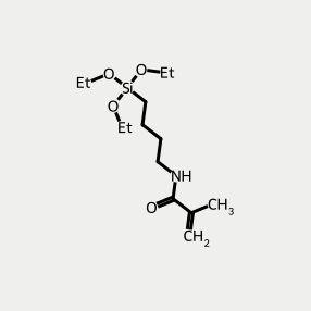 C=C(C)C(=O)NCCCC[Si](OCC)(OCC)OCC